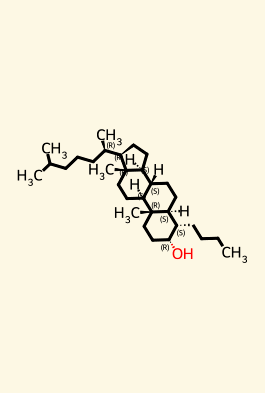 CCCC[C@@H]1[C@H](O)CC[C@@]2(C)[C@H]1CC[C@@H]1[C@@H]2CC[C@]2(C)[C@@H]([C@H](C)CCCC(C)C)CC[C@@H]12